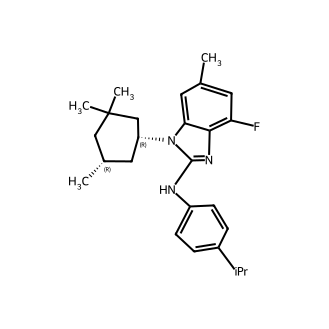 Cc1cc(F)c2nc(Nc3ccc(C(C)C)cc3)n([C@@H]3C[C@H](C)CC(C)(C)C3)c2c1